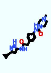 CN1CCN(C(=O)Nc2ccc(CC(=O)Nc3cc(C4CC4)n[nH]3)cc2)CC1